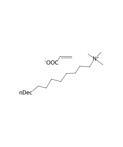 C=CC(=O)[O-].CCCCCCCCCCCCCCCCCC[N+](C)(C)C